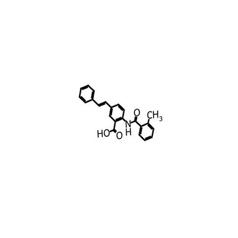 Cc1ccccc1C(=O)Nc1ccc(/C=C/c2ccccc2)cc1C(=O)O